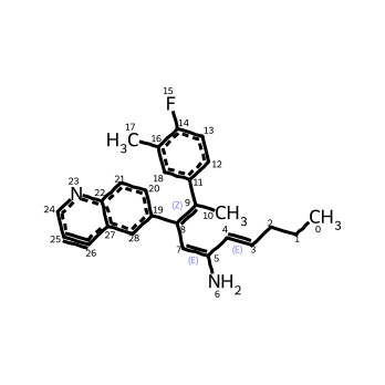 CCC/C=C/C(N)=C\C(=C(/C)c1ccc(F)c(C)c1)c1ccc2ncc#cc2c1